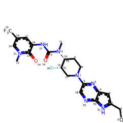 COCc1cc2nc(N3CC[C@@H](N(C)C(=O)Nc4cc(C(F)(F)F)cn(C)c4=O)[C@@H](F)C3)cnc2[nH]1